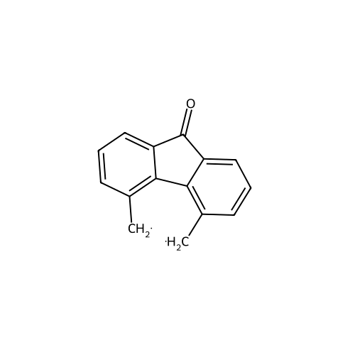 [CH2]c1cccc2c1-c1c([CH2])cccc1C2=O